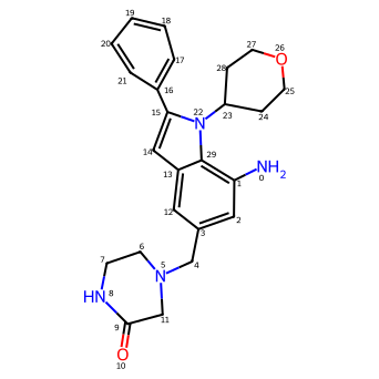 Nc1cc(CN2CCNC(=O)C2)cc2cc(-c3ccccc3)n(C3CCOCC3)c12